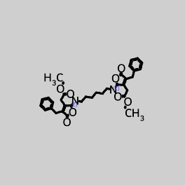 CCOC(=O)CC1=C(Cc2ccccc2)C(=O)O/C1=N\CCCCCC/N=C1\OC(=O)C(Cc2ccccc2)=C1CC(=O)OCC